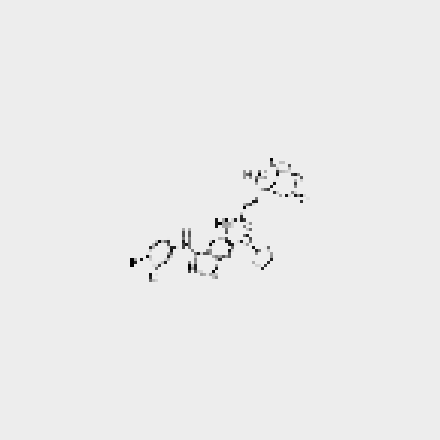 CC1(C)COC(=O)CN1CC=CC(=O)Nc1cc2c(Nc3ccc(F)c(Cl)c3)ncnc2cc1OC1CCCC1